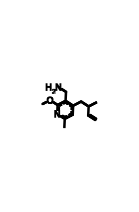 C=CC(C)Cc1cc(C)nc(OC)c1CN